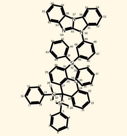 C[Si](C)(c1ccccc1)C1([Si](C)(C)c2ccccc2)c2ccccc2Oc2c1cccc2[Si](c1ccccc1)(c1ccccc1)c1cccc(-n2c3ccccc3n3c4ccccc4nc23)c1